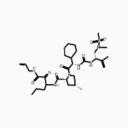 C=CCNC(=O)C(=O)C(CCC)NC(=O)[C@@H]1C[C@@H](C)CN1C(=O)[C@@H](NC(=O)N[C@H](CN(C)S(C)(=O)=O)C(=C)C)C1CCCCC1